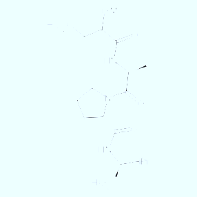 COC(CC(=O)O)C(=O)N[C@@H](C)C(=O)N1CCC[C@H]1C(=O)N[C@H](C(=O)O)C(C)C